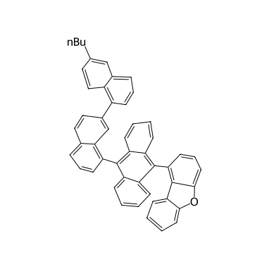 CCCCc1ccc2c(-c3ccc4cccc(-c5c6ccccc6c(-c6cccc7oc8ccccc8c67)c6ccccc56)c4c3)cccc2c1